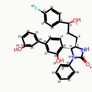 O=C1N[C@H](CC[C@H](O)c2ccc(F)cc2)[C@@H](c2ccc(-c3cccc(O)c3)cc2O)N1c1ccccc1